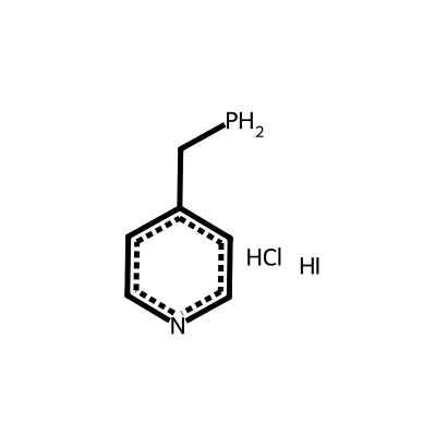 Cl.I.PCc1ccncc1